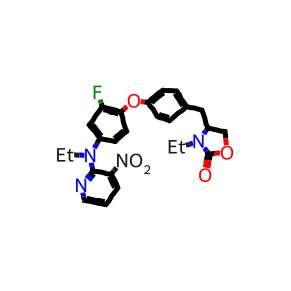 CCN(c1ccc(Oc2ccc(CC3COC(=O)N3CC)cc2)c(F)c1)c1ncccc1[N+](=O)[O-]